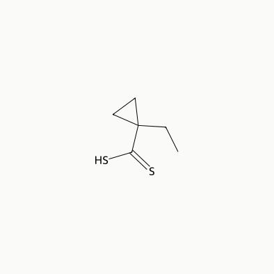 CCC1(C(=S)S)CC1